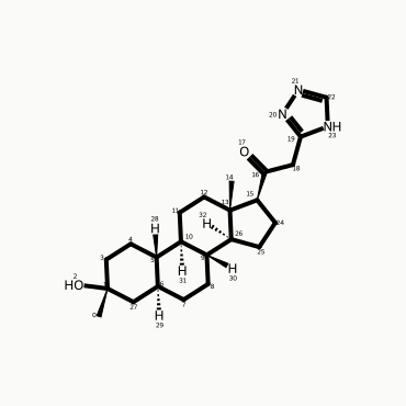 C[C@@]1(O)CC[C@H]2[C@@H](CC[C@@H]3[C@@H]2CC[C@]2(C)[C@@H](C(=O)Cc4nnc[nH]4)CC[C@@H]32)C1